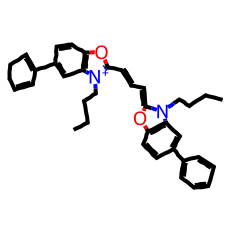 CCCCN1/C(=C/C=C/c2oc3ccc(C4=CCCC=C4)cc3[n+]2CCCC)Oc2ccc(-c3ccccc3)cc21